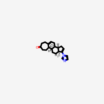 C[C@]12CCC(=O)CCC1=CCC1[C@@H]2CC[C@]2(C)C(n3ccnc3)=CC[C@@H]12